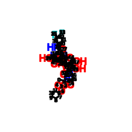 CC(OC(=O)OC1CCCCC1)n1c(=O)ccn([C@@H]2O[C@H]([C@@H](O[C@H]3OC(C(=O)Nc4ccc(F)c(F)c4)=C[C@H](O)[C@@H]3O)C(N)=O)[C@@H](CO)[C@H]2O)c1=O